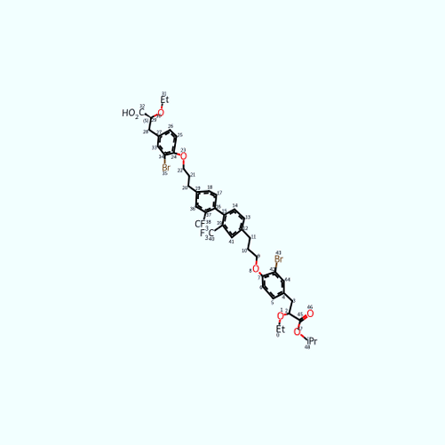 CCOC(Cc1ccc(OCCCc2ccc(-c3ccc(CCCOc4ccc(C[C@H](OCC)C(=O)O)cc4Br)cc3C(F)(F)F)c(C(F)(F)F)c2)c(Br)c1)C(=O)OC(C)C